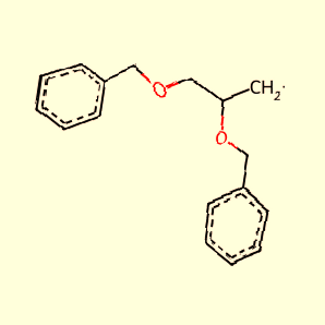 [CH2]C(COCc1ccccc1)OCc1ccccc1